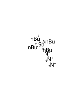 CCC[CH2][Sn]([CH2]CCC)([CH2]CCC)[CH2]CCC.[N-]=[N+]=[N-]